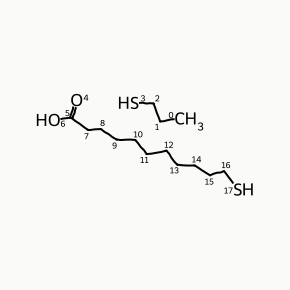 CCCS.O=C(O)CCCCCCCCCCS